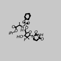 CC(C)OC(=O)[C@@H](C)NP(=O)(OCC1O[C@@H](n2ccc(=O)[nH]c2=O)[C@](C)(F)[C@@H]1O)Oc1ccccc1